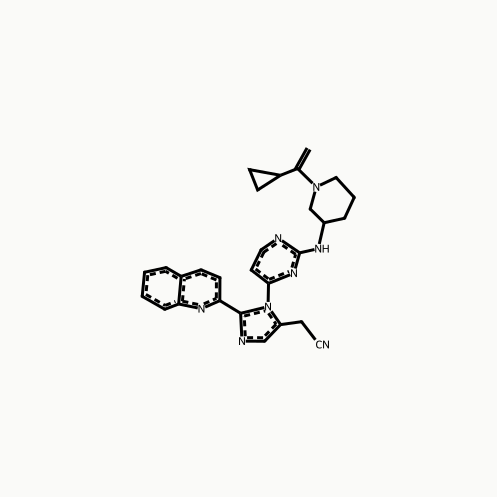 C=C(C1CC1)N1CCCC(Nc2nccc(-n3c(CC#N)cnc3-c3ccc4ccccc4n3)n2)C1